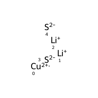 [Cu+2].[Li+].[Li+].[S-2].[S-2]